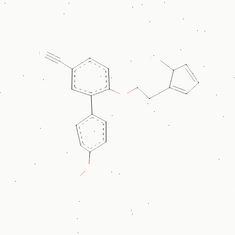 C#Cc1ccc(OCCC2=CC=CC2C)c(-c2ccc(OC(F)(F)F)cc2)c1